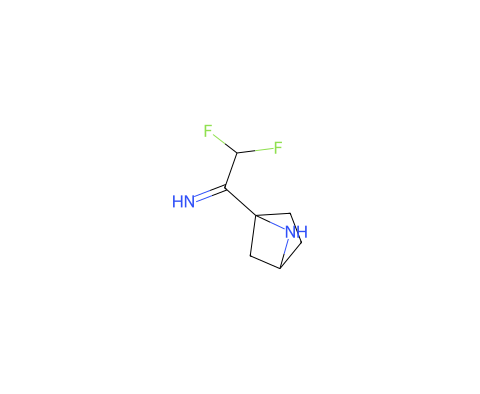 N=C(C(F)F)C12CCC(C1)N2